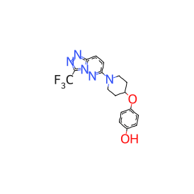 Oc1ccc(OC2CCN(c3ccc4nnc(C(F)(F)F)n4n3)CC2)cc1